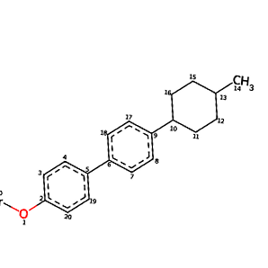 CCCOc1ccc(-c2ccc(C3CCC(C)CC3)cc2)cc1